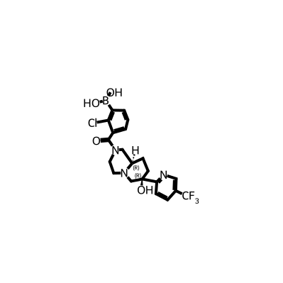 O=C(c1cccc(B(O)O)c1Cl)N1CCN2C[C@@](O)(c3ccc(C(F)(F)F)cn3)CC[C@@H]2C1